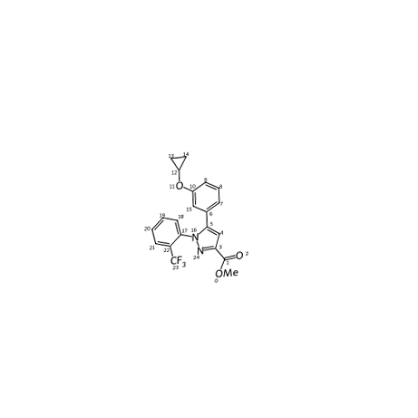 COC(=O)c1cc(-c2cccc(OC3CC3)c2)n(-c2ccccc2C(F)(F)F)n1